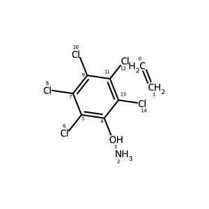 C=C.N.Oc1c(Cl)c(Cl)c(Cl)c(Cl)c1Cl